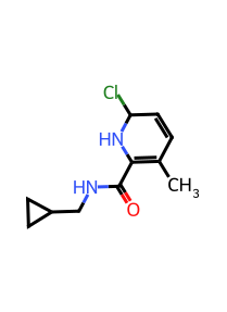 CC1=C(C(=O)NCC2CC2)NC(Cl)C=C1